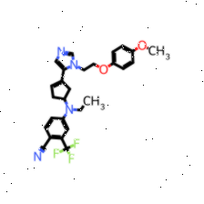 CCN(c1ccc(C#N)c(C(F)(F)F)c1)C1CC=C(c2cncn2CCOc2ccc(OC)cc2)C1